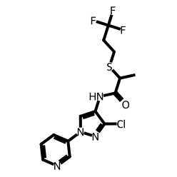 CC(SCCC(F)(F)F)C(=O)Nc1cn(-c2cccnc2)nc1Cl